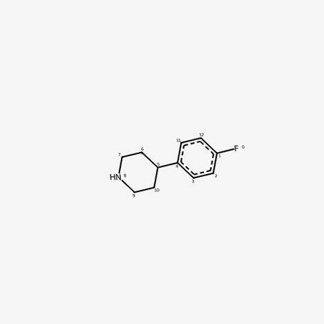 Fc1ccc(C2[CH]CNCC2)cc1